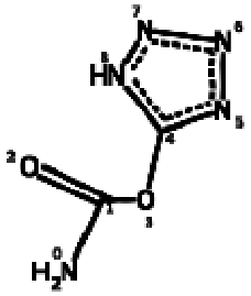 NC(=O)Oc1nnn[nH]1